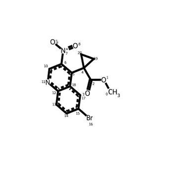 COC(=O)C1(c2c([N+](=O)[O-])cnc3ccc(Br)cc23)CC1